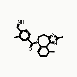 Cc1nc2c(s1)CCN(C(=O)c1ccc(C=N)c(C)c1)C1=CC=CC(C)C12